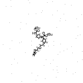 CC(C)(C)OC(=O)N[C@@H]1CCN(N(C(=O)OC(C)(C)C)[C@@H]2CCN(CCOCCN=[N+]=[N-])C2)C1